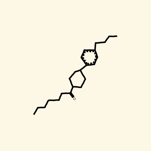 CCCCCCC(=O)C1CCC(c2ccc(CCCC)cc2)CC1